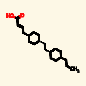 CCC[C@H]1CC[C@H](CC[C@H]2CC[C@H](C/C=C/C(=O)O)CC2)CC1